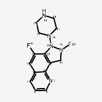 Fc1cc2cccnc2c2c1N(N1CCNCC1)N(F)C2